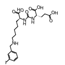 O=C(O)CC[C@H](NC(=O)N[C@@H](CCCCCNCc1cccc(I)c1)C(=O)O)C(=O)O